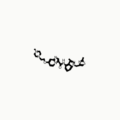 Cc1nc(Cn2nc(C)c3c(NC(=O)c4cnc5cc(OCCN6CCN(C)CC6)ccn45)cccc32)cs1